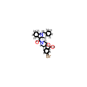 Cc1c(C(=O)N2CCC3(CC2)OC(=O)c2cc(Br)ccc23)c2ccccc2n1Cc1ccccc1